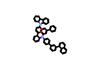 C1=CC(c2ccc(N3c4ccccc4C4C=CC=CC43)cc2)C(N(c2ccc(-c3cccc(-c4cccc5ccccc45)c3)cc2)c2cccc(-c3ccccc3)c2)C=C1